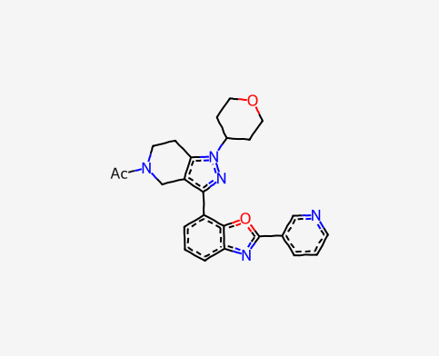 CC(=O)N1CCc2c(c(-c3cccc4nc(-c5cccnc5)oc34)nn2C2CCOCC2)C1